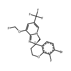 FCOC1=CC(C(F)(F)F)=CN2C[C@@]3(CCOc4c3ccc(Br)c4F)N=C12